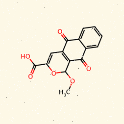 COC1OC(C(=O)O)=CC2=C1C(=O)c1ccccc1C2=O